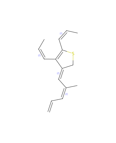 C=C/C=C(C)\C=C1/CSC(/C=C\C)=C1/C=C\C